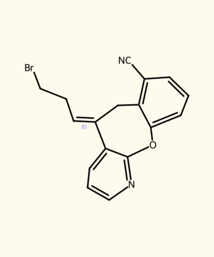 N#Cc1cccc2c1C/C(=C\CCBr)c1cccnc1O2